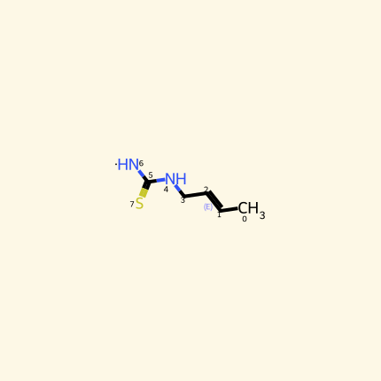 C/C=C/CNC([NH])=S